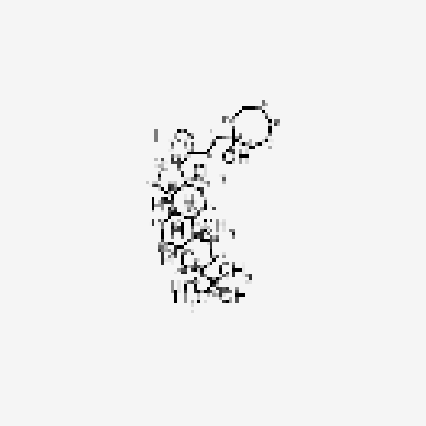 C[C@H](CCC1(O)CCCCCC1)[C@H]1CC[C@H]2[C@@H]3CC[C@H]4C[C@](O)(C(C)(C)O)CC[C@]4(C)[C@H]3CC[C@]12C